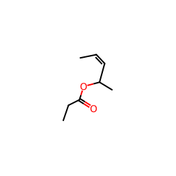 C/C=C\C(C)OC(=O)CC